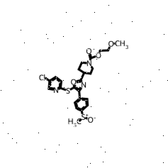 COCCOC(=O)N1CCC(c2nc(-c3ccc([S+](C)[O-])cc3)c(Sc3ccc(Cl)cn3)o2)CC1